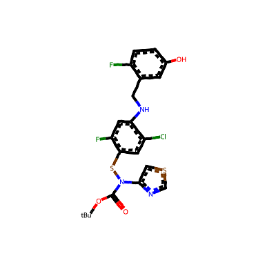 CC(C)(C)OC(=O)N(Sc1cc(Cl)c(NCc2cc(O)ccc2F)cc1F)c1cscn1